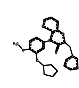 COc1ccc(-n2c(=O)c(Cc3ccccc3)nc3cccnc32)cc1OC1CCCC1